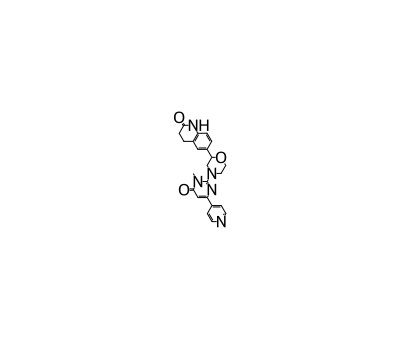 Cn1c(N2CCOC(c3ccc4c(c3)CCC(=O)N4)C2)nc(-c2ccncc2)cc1=O